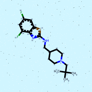 CC(C)(C)CN1CCC(CNc2nc3c(F)cc(F)cc3s2)CC1